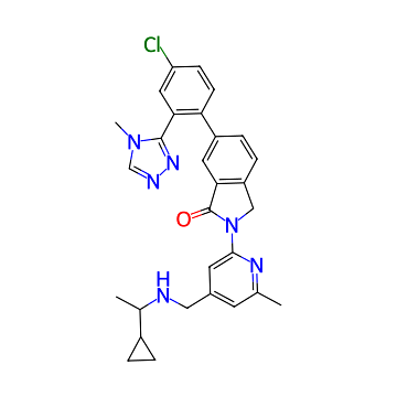 Cc1cc(CNC(C)C2CC2)cc(N2Cc3ccc(-c4ccc(Cl)cc4-c4nncn4C)cc3C2=O)n1